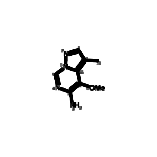 COc1c(N)ncn2ncc(C)c12